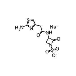 Nc1nc(CC(=O)NC2CN(S(=O)(=O)[O-])C2=O)cs1.[Na+]